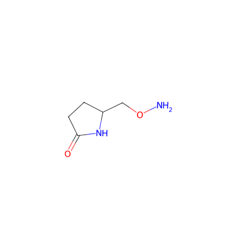 NOCC1CCC(=O)N1